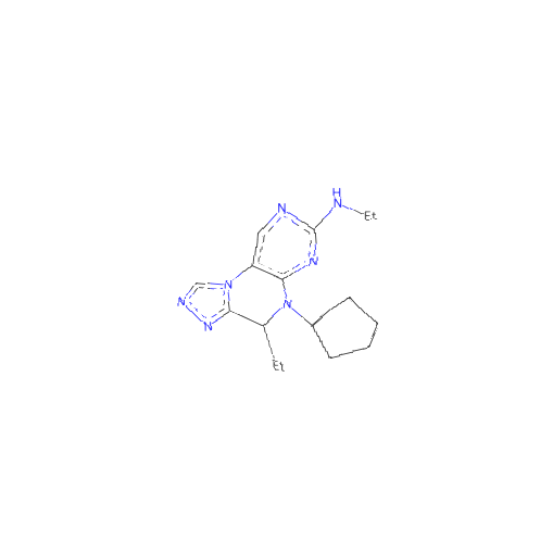 CCNc1ncc2c(n1)N(C1CCCC1)C(CC)c1nncn1-2